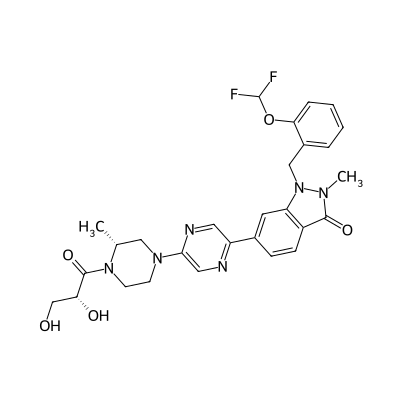 C[C@@H]1CN(c2cnc(-c3ccc4c(=O)n(C)n(Cc5ccccc5OC(F)F)c4c3)cn2)CCN1C(=O)[C@H](O)CO